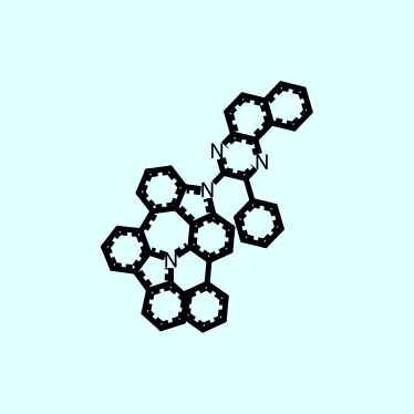 c1ccc(-c2nc3c(ccc4ccccc43)nc2-n2c3cccc4c5cccc6c7ccccc7n(c7c(-c8ccccc8)ccc2c7c43)c56)cc1